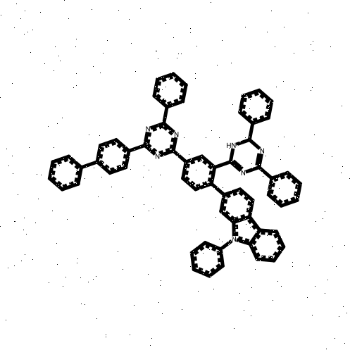 c1ccc(C2=NC(c3ccccc3)NC(c3cc(-c4nc(-c5ccccc5)nc(-c5ccc(-c6ccccc6)cc5)n4)ccc3-c3ccc4c5ccccc5n(-c5ccccc5)c4c3)=N2)cc1